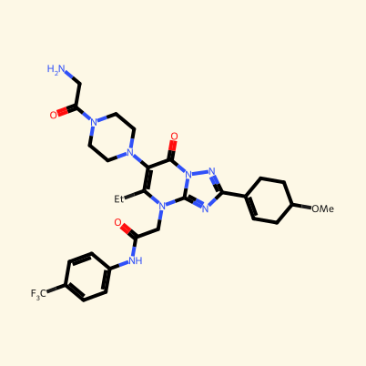 CCc1c(N2CCN(C(=O)CN)CC2)c(=O)n2nc(C3=CCC(OC)CC3)nc2n1CC(=O)Nc1ccc(C(F)(F)F)cc1